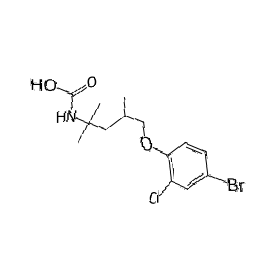 CC(COc1ccc(Br)cc1Cl)CC(C)(C)NC(=O)O